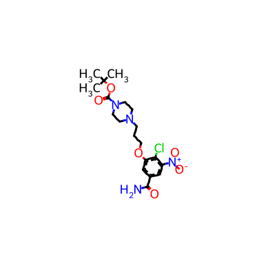 CC(C)(C)OC(=O)N1CCN(CCCOc2cc(C(N)=O)cc([N+](=O)[O-])c2Cl)CC1